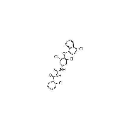 O=C(NC(=S)Nc1cc(Cl)c(Oc2ccc(Cl)c3ccccc23)c(Cl)c1)c1ccccc1Cl